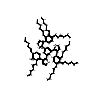 CCCCCCc1ccc(-c2ccsc2-c2cc(-c3sccc3-c3ccc(CCCCCC)c(CCCCCC)c3CCCCCC)cc(-c3sccc3-c3ccc(CCCCCC)c(CCCCCC)c3CCCCCC)c2)c(CCCCCC)c1C